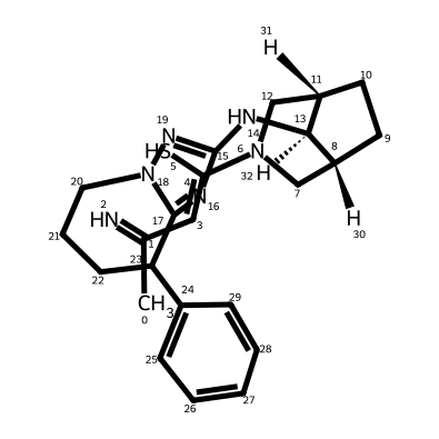 CC(=N)/C=C(\S)N1C[C@H]2CC[C@@H](C1)[C@@H]2Nc1nc2n(n1)CCCC2c1ccccc1